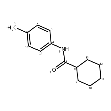 [CH2]c1ccc(NC(=O)C2CCCCC2)cc1